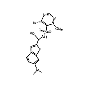 CCc1ncnc(OC)c1S(=O)(=O)NC(O)c1cc2ccc(N(C)C)cc2o1